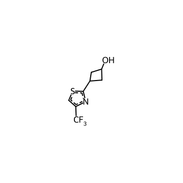 OC1CC(c2nc(C(F)(F)F)cs2)C1